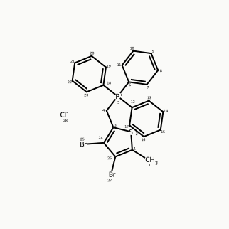 Cc1sc(C[P+](c2ccccc2)(c2ccccc2)c2ccccc2)c(Br)c1Br.[Cl-]